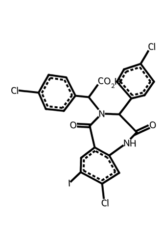 O=C(O)C(c1ccc(Cl)cc1)N1C(=O)c2cc(I)c(Cl)cc2NC(=O)C1c1ccc(Cl)cc1